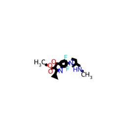 CCNCC1CCN(c2c(F)cc3c(c2F)N=C(C2CC2)C(C(=O)OCC)C3=O)C1